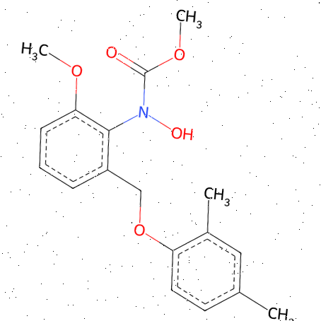 COC(=O)N(O)c1c(COc2ccc(C)cc2C)cccc1OC